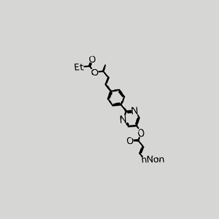 CCCCCCCCCC=CC(=O)Oc1cnc(-c2ccc(CCC(C)OC(=O)CC)cc2)nc1